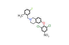 Cc1ccc(F)cc1CN1CCc2cc(Oc3c(Cl)cc([N+](=O)[O-])cc3Cl)ccc2C1